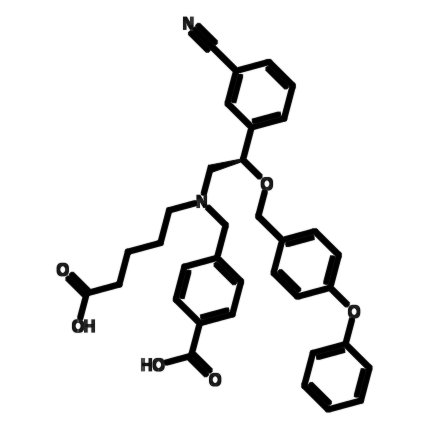 N#Cc1cccc([C@H](CN(CCCCC(=O)O)Cc2ccc(C(=O)O)cc2)OCc2ccc(Oc3ccccc3)cc2)c1